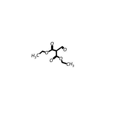 CCOC(=O)C(C=O)C(=O)OCC